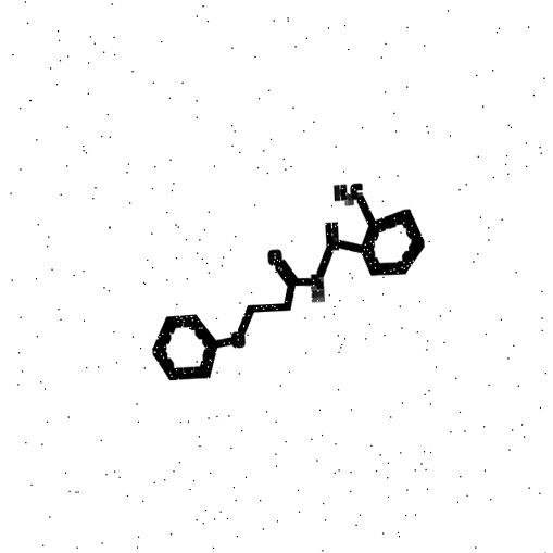 Cc1ccccc1NNC(=O)CCOc1ccccc1